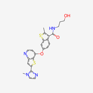 Cc1sc2cc(Oc3ccnc4cc(-c5nccn5C)sc34)ccc2c1C(=O)NCCCO